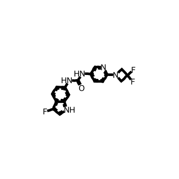 O=C(Nc1ccc(N2CC(F)(F)C2)nc1)Nc1ccc2c(F)c[nH]c2c1